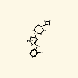 Fc1ccccc1OC1=CC(N2CCCN(C3CCC3)CC2)=[C]NC1